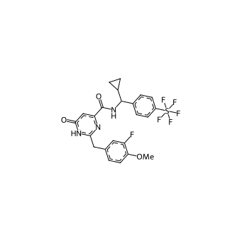 COc1ccc(Cc2nc(C(=O)NC(c3ccc(S(F)(F)(F)(F)F)cc3)C3CC3)cc(=O)[nH]2)cc1F